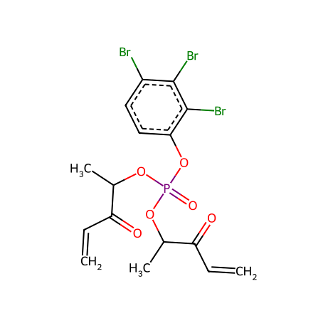 C=CC(=O)C(C)OP(=O)(Oc1ccc(Br)c(Br)c1Br)OC(C)C(=O)C=C